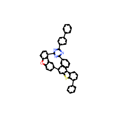 c1ccc(-c2ccc(-c3nc(-c4ccccc4)nc(-c4cccc5oc6ccc(-c7ccc8c(c7)sc7c(-c9ccccc9)cccc78)cc6c45)n3)cc2)cc1